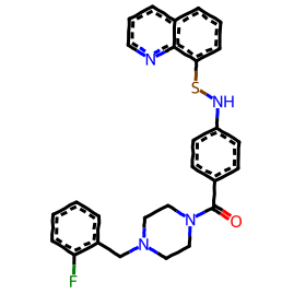 O=C(c1ccc(NSc2cccc3cccnc23)cc1)N1CCN(Cc2ccccc2F)CC1